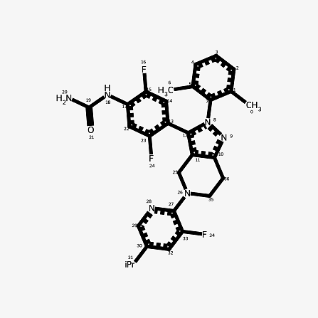 Cc1cccc(C)c1-n1nc2c(c1-c1cc(F)c(NC(N)=O)cc1F)CN(c1ncc(C(C)C)cc1F)CC2